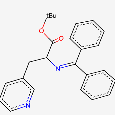 CC(C)(C)OC(=O)C(Cc1cccnc1)N=C(c1ccccc1)c1ccccc1